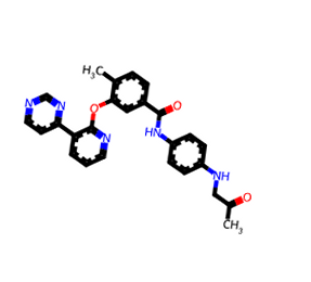 CC(=O)CNc1ccc(NC(=O)c2ccc(C)c(Oc3ncccc3-c3ccncn3)c2)cc1